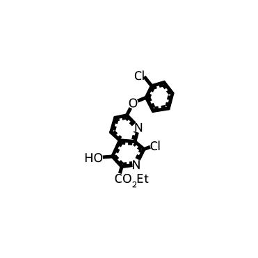 CCOC(=O)c1nc(Cl)c2nc(Oc3ccccc3Cl)ccc2c1O